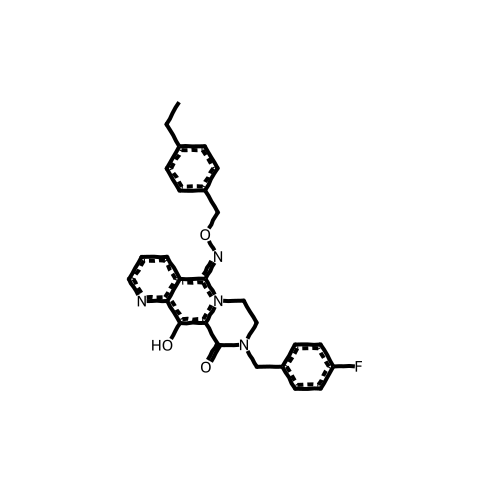 CCc1ccc(CO/N=c2\c3cccnc3c(O)c3n2CCN(Cc2ccc(F)cc2)C3=O)cc1